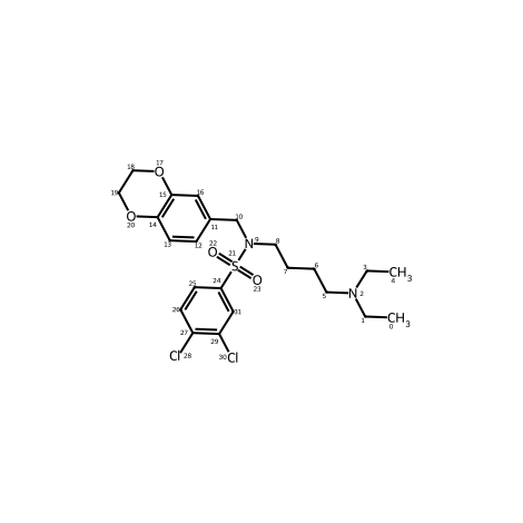 CCN(CC)CCCCN(Cc1ccc2c(c1)OCCO2)S(=O)(=O)c1ccc(Cl)c(Cl)c1